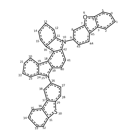 c1ccc2c(c1)oc1cc(-n3c4ccccc4c4c5c6ccccc6n(-c6ccc7sc8ccccc8c7c6)c5ccc43)ccc12